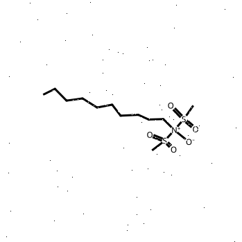 CCCCCCCCCC[N+]([O-])(S(C)(=O)=O)S(C)(=O)=O